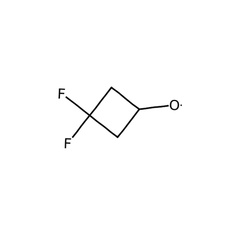 [O]C1CC(F)(F)C1